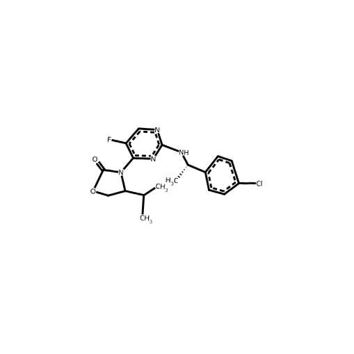 CC(C)C1COC(=O)N1c1nc(N[C@@H](C)c2ccc(Cl)cc2)ncc1F